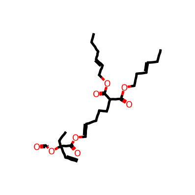 C=CC(CC)(O[C]=O)C(=O)OC=CCCCC(C(=O)OCC=CCCC)C(=O)OCCC=CCC